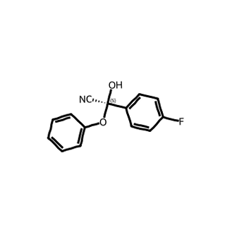 N#C[C@@](O)(Oc1ccccc1)c1ccc(F)cc1